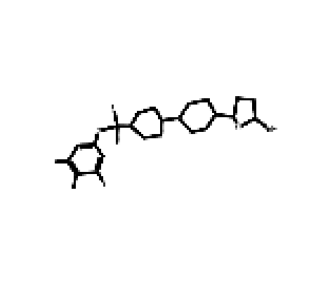 CCCC1CCC(C2CCC(C3CCC(C(F)(F)Oc4cc(F)c(C)c(F)c4)CC3)CC2)O1